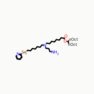 CCCCCCCCC(CCCCCCCC)OC(=O)CCCCCCCN(CCCN)CCCCCCCSSc1ccccn1